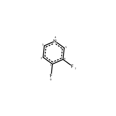 Fc1ccncc1F